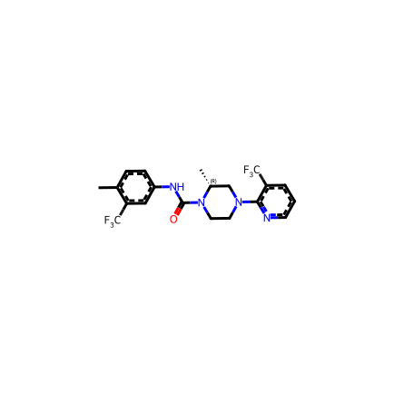 Cc1ccc(NC(=O)N2CCN(c3ncccc3C(F)(F)F)C[C@H]2C)cc1C(F)(F)F